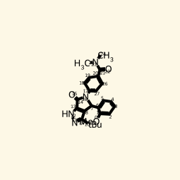 COc1ccccc1C1c2c(C(C)(C)C)n[nH]c2C(=O)N1c1ccc(C(=O)N(C)C)cc1